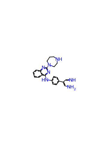 N=C/C(=C\N)c1ccc(Nc2nc(N3CCCNCC3)nc3ccccc23)cc1